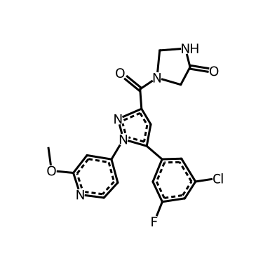 COc1cc(-n2nc(C(=O)N3CNC(=O)C3)cc2-c2cc(F)cc(Cl)c2)ccn1